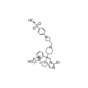 C#CS(=O)(=O)c1ccc(N2CC(CN3CCC([C@@](Cn4ccnc4CC)(c4cccc(F)c4)[C@H]4CCC[C@@H]4NC(=O)O)CC3)C2)cc1